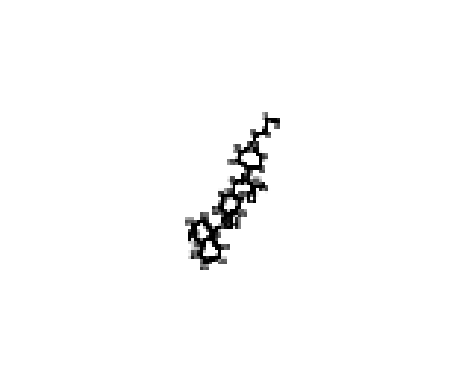 CCCCN1CCC(N(Cc2ccc(Nc3ccnc4ccccc34)cc2)C(C)=O)CC1